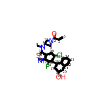 C=CC(=O)N1CC(N(C)c2snc3c(F)c(-c4cc(O)cc5ccccc45)c(Cl)cc23)C1